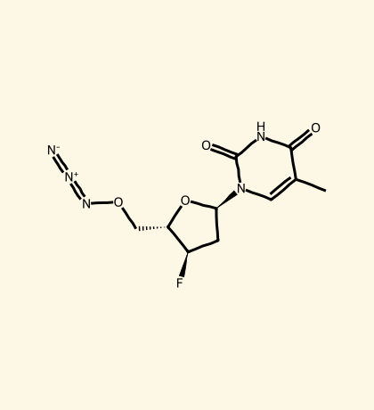 Cc1cn([C@H]2C[C@@H](F)[C@H](CON=[N+]=[N-])O2)c(=O)[nH]c1=O